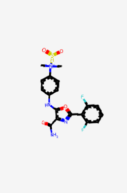 C[N+](C)(c1ccc(Nc2oc(-c3c(F)cccc3F)nc2C(N)=O)cc1)[SH](=O)=O